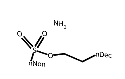 CCCCCCCCCCCCOS(=O)(=O)CCCCCCCCC.N